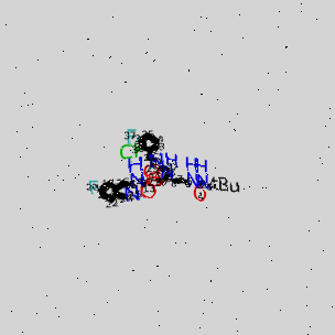 [CH2]C(C)(C)CNC(=O)NCCC[C@@H](COC(=O)Nc1cc2cc(F)ccc2cn1)N(C)C(=O)NCc1cccc(F)c1Cl